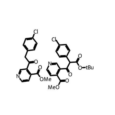 COC(=O)c1ccncc1C(=O)C(C(=O)OC(C)(C)C)c1ccc(Cl)cc1.COC(=O)c1ccncc1C(=O)Cc1ccc(Cl)cc1